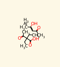 CC(=O)/C=C(/C)O.CCC(CC)(C(C)=O)C(=O)O.[AlH3]